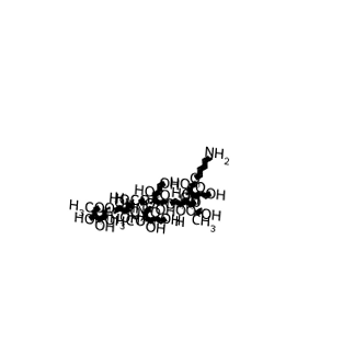 CC(=O)NC1[C@H](O[C@@H]2C(O)[C@@H](OC[C@H](O)C(O)[C@@H](OC(C)CO)O[C@@H]3C(CO)O[C@@H](OCCCCCN)C(O)[C@H]3O)OC(CO)[C@@H]2O)OC(CO)[C@H](O)[C@@H]1OC(C)OC(CO)[C@H](O)[C@H](O)CO[C@@H]1OC(C)C(O)[C@H](O)[C@@H]1O